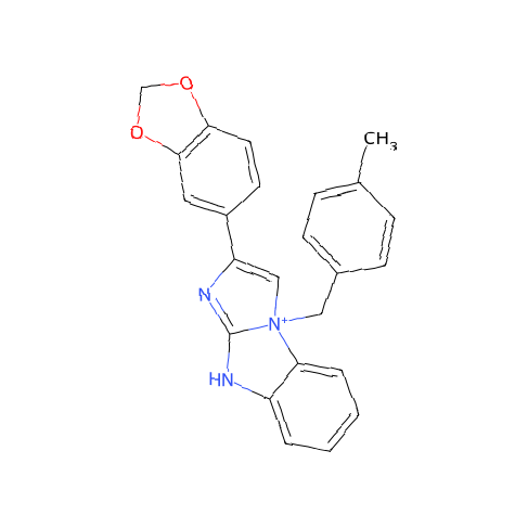 Cc1ccc(C[N+]23C=C(c4ccc5c(c4)OCO5)N=C2Nc2ccccc23)cc1